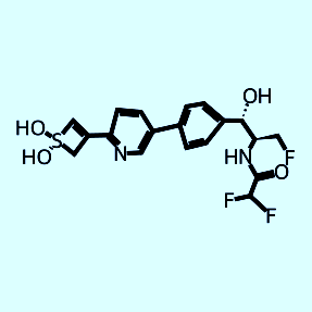 O=C(N[C@H](CF)[C@@H](O)c1ccc(-c2ccc(C3=CS(O)(O)C3)nc2)cc1)C(F)F